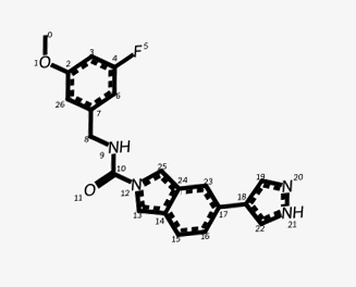 COc1cc(F)cc(CNC(=O)n2cc3ccc(-c4cn[nH]c4)cc3c2)c1